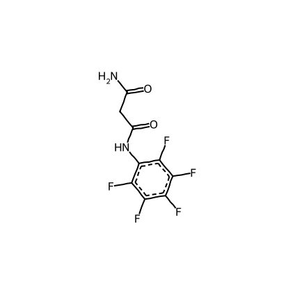 NC(=O)CC(=O)Nc1c(F)c(F)c(F)c(F)c1F